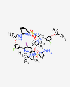 CC(C)COc1cc(F)cc(-c2ccc(C(=O)NS(=O)(=O)c3cccc(NCC(C)COc4cc(F)cc(-c5nc(N6C[C@@H](C)CC6(C)C)c(C(=O)NS(=O)(=O)c6cccc(N)n6)cc5I)c4)n3)c(N3C[C@@H](C)CC3(C)C)n2)c1